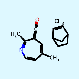 C.C1=CC2CCC1C2.CC1=CC(=C=O)C(C)=NC=C1